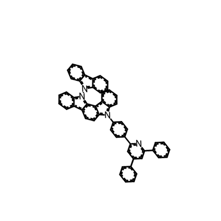 c1ccc(-c2cc(-c3ccccc3)nc(-c3ccc(-n4c5ccccc5c5c4ccc4c6ccccc6n(-n6c7ccccc7c7ccccc76)c45)cc3)c2)cc1